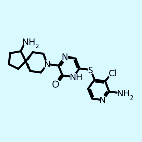 Nc1nccc(Sc2cnc(N3CCC4(CCCC4N)CC3)c(=O)[nH]2)c1Cl